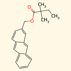 CCC(C)(C)C(=O)OCc1ccc2cc3ccccc3cc2c1